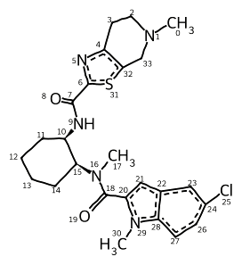 CN1CCc2nc(C(=O)N[C@@H]3CCCC[C@@H]3N(C)C(=O)c3cc4cc(Cl)ccc4n3C)sc2C1